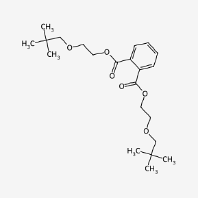 CC(C)(C)COCCOC(=O)c1ccccc1C(=O)OCCOCC(C)(C)C